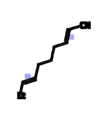 CC/C=C/CCC/C=C/C#N